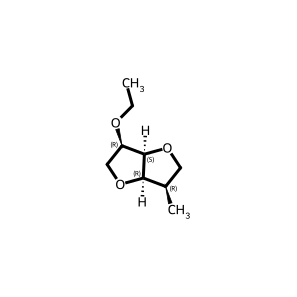 CCO[C@@H]1CO[C@H]2[C@@H]1OC[C@H]2C